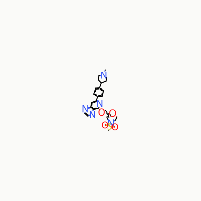 CN1CCC(c2ccc(-c3cc4nccnc4c(OC[C@@H]4CN(S(C)(=O)=O)CCO4)n3)cc2)CC1